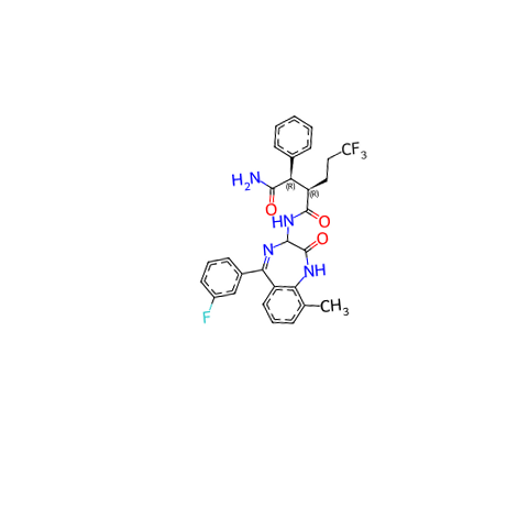 Cc1cccc2c1NC(=O)C(NC(=O)[C@H](CCC(F)(F)F)[C@@H](C(N)=O)c1ccccc1)N=C2c1cccc(F)c1